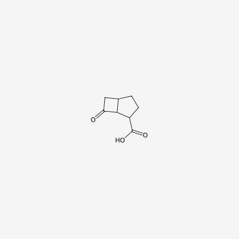 O=C(O)C1CCC2CC(=O)C21